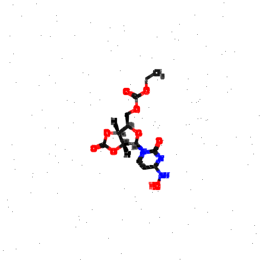 O=C(OC[C@H]1O[C@@H](n2ccc(NO)nc2=O)[C@@H]2OC(=O)O[C@@H]21)OCC(F)(F)F